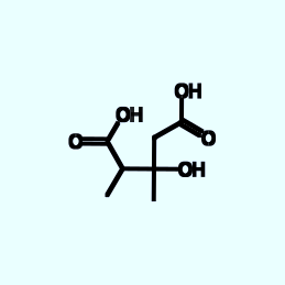 CC(C(=O)O)C(C)(O)CC(=O)O